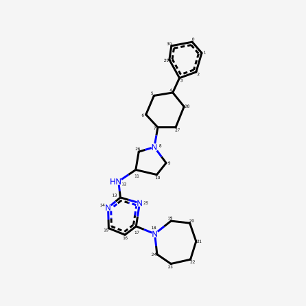 c1ccc(C2CCC(N3CCC(Nc4nccc(N5CCCCCC5)n4)C3)CC2)cc1